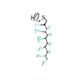 O=S(=O)(O)CC(F)C(F)C(F)C(F)C(F)C(F)C(F)C(F)C(F)CF